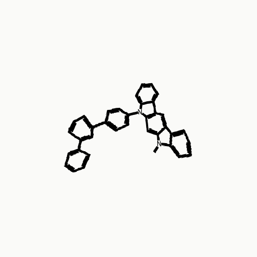 Cn1c2ccccc2c2cc3c4ccccc4n(-c4ccc(-c5cccc(-c6ccccc6)c5)cc4)c3cc21